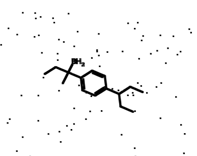 BC(C)(CC)c1ccc(C(CC)CC)cc1